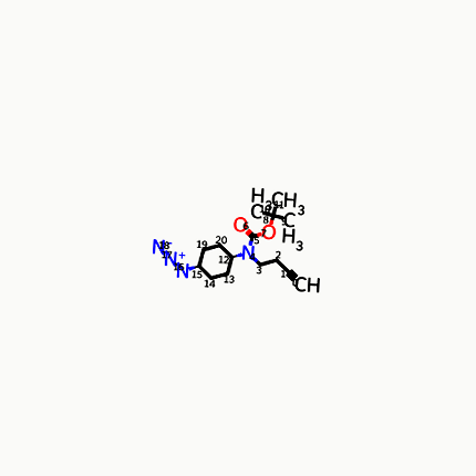 C#CCCN(C(=O)OC(C)(C)C)[C@H]1CC[C@@H](N=[N+]=[N-])CC1